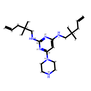 C=CCC(C)(C)CNc1cc(N2CCNCC2)nc(NCC(C)(C)CC=C)n1